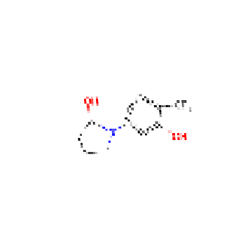 Oc1cc(N2CCCC2O)ccc1C(F)(F)F